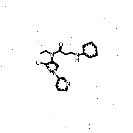 CCN(C(=O)CCNc1ccccc1)c1cn(-c2cccnc2)nc1Cl